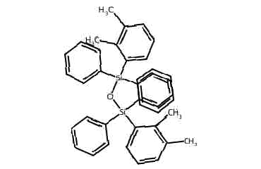 Cc1cccc([Si](O[Si](c2ccccc2)(c2ccccc2)c2cccc(C)c2C)(c2ccccc2)c2ccccc2)c1C